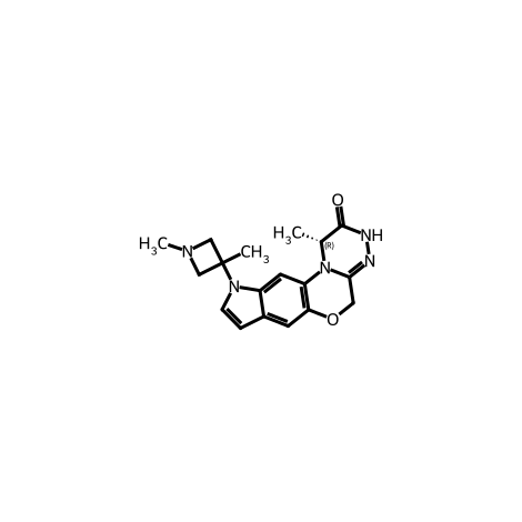 C[C@@H]1C(=O)NN=C2COc3cc4ccn(C5(C)CN(C)C5)c4cc3N21